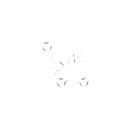 CCCN(CCC)S(=O)(=O)CCC(=O)N[C@@H](Cc1cccc(OCc2ccccc2)c1)[C@H](O)CNCc1ccccc1